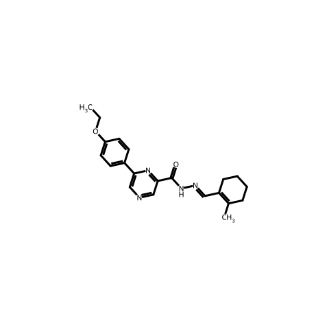 CCOc1ccc(-c2cncc(C(=O)NN=CC3=C(C)CCCC3)n2)cc1